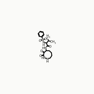 CC(C)C(NS(=O)(=O)c1ccccc1)C(=O)NC1CCCCNNC(=O)C1=O